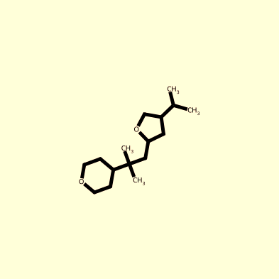 CC(C)C1COC(CC(C)(C)C2CCOCC2)C1